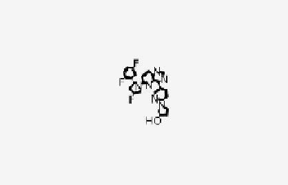 O[C@H]1CCN(c2ccc(-c3ncnc4ccc(N5C[C@@H](F)C[C@@H]5c5cc(F)ccc5F)nc34)cn2)C1